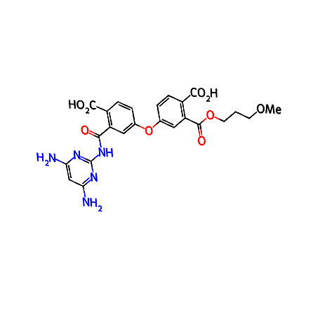 COCCCOC(=O)c1cc(Oc2ccc(C(=O)O)c(C(=O)Nc3nc(N)cc(N)n3)c2)ccc1C(=O)O